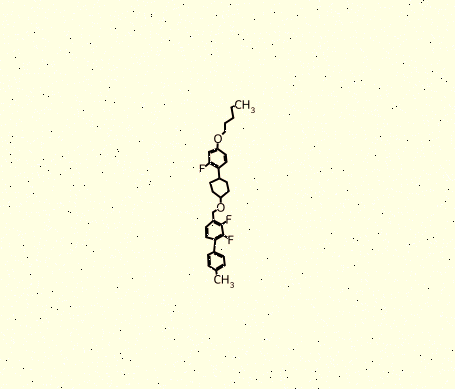 CCCCCOc1ccc(C2CCC(OCc3ccc(-c4ccc(C)cc4)c(F)c3F)CC2)c(F)c1